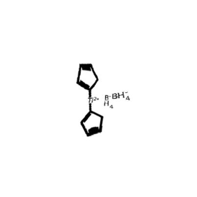 C1=CC[C]([Ti+2][C]2=CC=CC2)=C1.[BH4-].[BH4-]